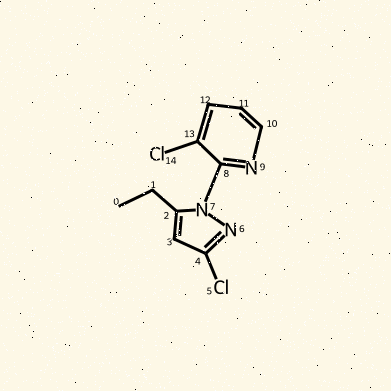 CCc1cc(Cl)nn1-c1ncccc1Cl